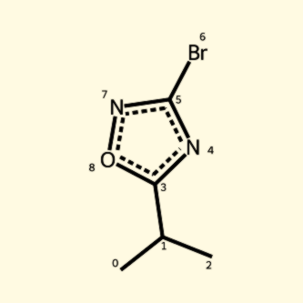 CC(C)c1nc(Br)no1